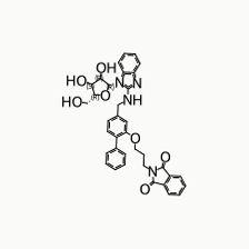 O=C1c2ccccc2C(=O)N1CCCOc1cc(CNc2nc3ccccc3n2[C@@H]2O[C@H](CO)[C@@H](O)[C@H]2O)ccc1-c1ccccc1